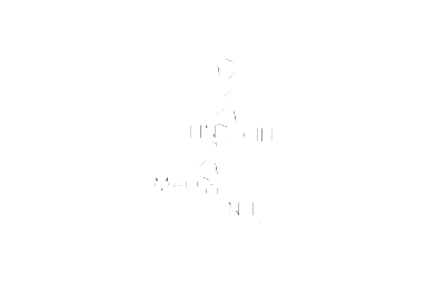 COc1cc(CC(=O)Nc2cccc(C=Cc3cccc(C)c3)c2)ccc1OCCN.Cl